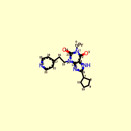 CCCn1c(=O)c2[nH]c(C3CCCC3)nc2n(CCc2ccncc2)c1=O